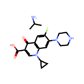 CC(C)N.O=C(O)c1cn(C2CC2)c2cc(N3CCNCC3)c(F)cc2c1=O